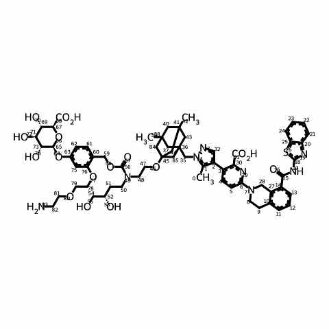 Cc1c(-c2ccc(N3CCc4cccc(C(=O)Nc5nc6ccccc6s5)c4C3)nc2C(=O)O)cnn1CC12CC3(C)CC(C)(C1)CC(OCCN(CC[C@H](O)CO)C(=O)OCc1ccc(O[C@@H]4O[C@H](C(=O)O)[C@@H](O)[C@H](O)[C@H]4O)cc1OCCOCCN)(C3)C2